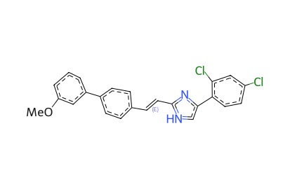 COc1cccc(-c2ccc(/C=C/c3nc(-c4ccc(Cl)cc4Cl)c[nH]3)cc2)c1